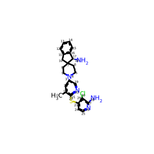 Cc1cc(N2CCC3(CC2)Cc2ccccc2[C@H]3N)cnc1Sc1ccnc(N)c1Cl